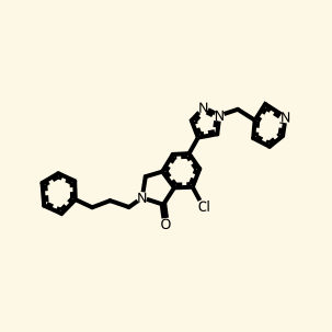 O=C1c2c(Cl)cc(-c3cnn(Cc4cccnc4)c3)cc2CN1CCCc1ccccc1